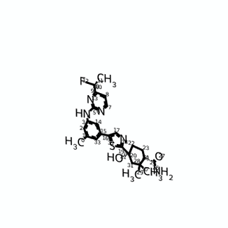 Cc1cc(Nc2nccc([C@H](C)F)n2)cc(-c2cnc([C@@]3(O)CC[C@H](C(N)=O)C(C)(C)C3)s2)c1